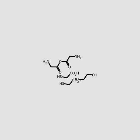 NCC(=O)OC(=O)CN.O=C(O)CS.O=C(O)CS.OCCO